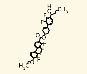 CCCC(O)c1ccc(C2=CCC(OC(=O)c3ccc(-c4ccc(OCC)c(F)c4F)c(F)c3F)CC2)c(F)c1F